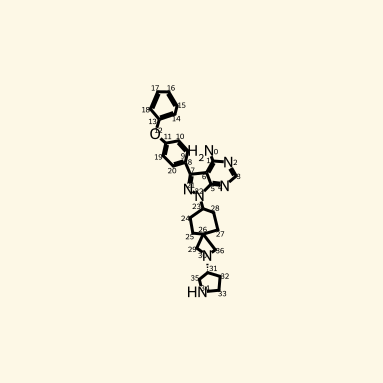 Nc1ncnc2c1c(-c1ccc(Oc3ccccc3)cc1)nn2C1CCC2(CC1)CN([C@@H]1CCNC1)C2